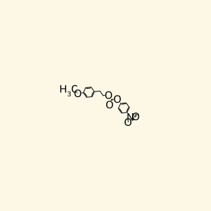 COc1ccc(CCOC(=O)Oc2ccc([N+](=O)[O-])cc2)cc1